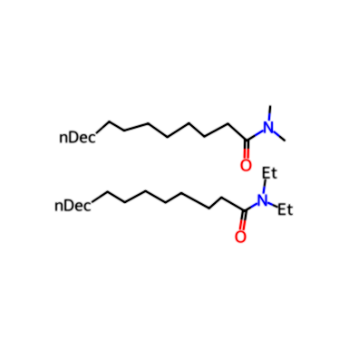 CCCCCCCCCCCCCCCCCC(=O)N(C)C.CCCCCCCCCCCCCCCCCC(=O)N(CC)CC